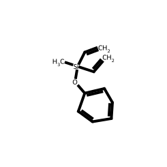 C=C[Si](C)(C=C)Oc1ccccc1